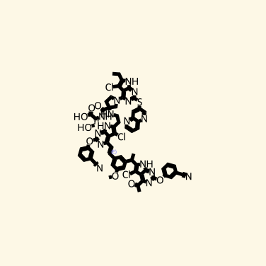 CCc1[nH]c2nc(Sc3cnc4cccnc4c3)nc(N3CCC(NCCc4[nH]c5nc(Oc6cccc(C#N)c6)nc(/C=C/c6cc(OC)cc(C(C)c7[nH]c8nc(Oc9cccc(C#N)c9)nc(C(C)=O)c8c7Cl)c6)c5c4Cl)(C(=O)N[C@H](CO)C(=O)O)C3)c2c1Cl